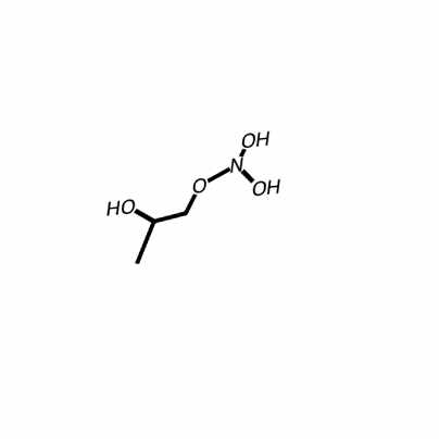 CC(O)CON(O)O